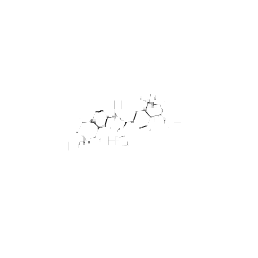 CC(C)c1ccc(C(=O)Nc2ccc3c(c2)CN(C)CC3)cc1C(F)(F)F.Cl